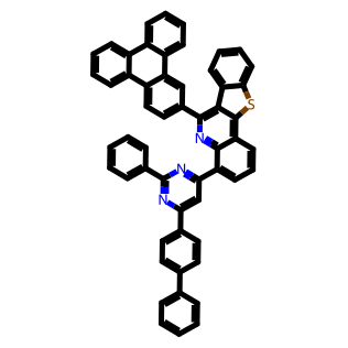 c1ccc(-c2ccc(-c3cc(-c4cccc5c4nc(-c4ccc6c7ccccc7c7ccccc7c6c4)c4c6ccccc6sc54)nc(-c4ccccc4)n3)cc2)cc1